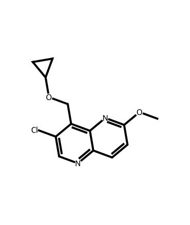 COc1ccc2ncc(Cl)c(COC3CC3)c2n1